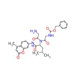 Cc1cc(=O)oc2cc(NC(=O)C(CC(C)C)N(C(=O)CN)C(=O)CNC(=O)OCc3ccccc3)ccc12